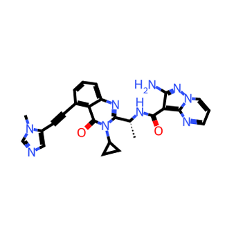 C[C@@H](NC(=O)c1c(N)nn2cccnc12)c1nc2cccc(C#Cc3cncn3C)c2c(=O)n1C1CC1